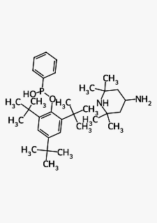 CC(C)(C)c1cc(C(C)(C)C)c(OP(O)c2ccccc2)c(C(C)(C)C)c1.CC1(C)CC(N)CC(C)(C)N1